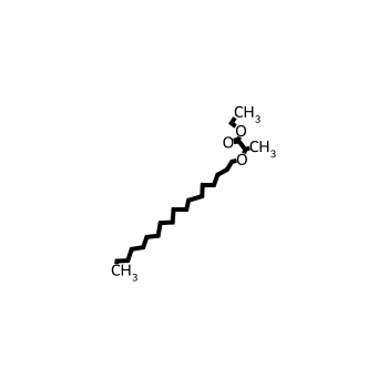 CCCCCCCCCCCCCCCCCCOC(C)C(=O)OCC